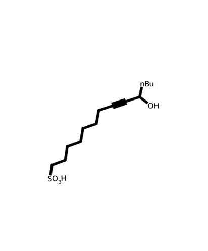 CCCCC(O)C#CCCCCCCCS(=O)(=O)O